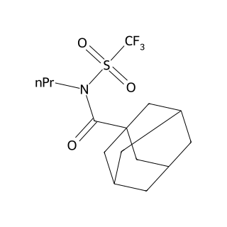 CCCN(C(=O)C12CC3CC(CC(C3)C1)C2)S(=O)(=O)C(F)(F)F